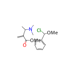 C=C(C(=O)OC)C(C)N(C)C.COC(Cl)c1ccccc1